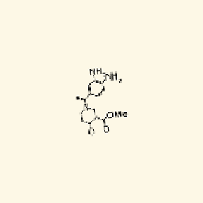 C=C(c1ccc(N)c(N)c1)N1CCC(=O)C(C(=O)OC)C1